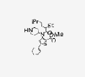 CCC(CCC(C)C)C(=O)N(c1cc(C2=CCCCC2)sc1C(=O)OC)C1CCNCC1